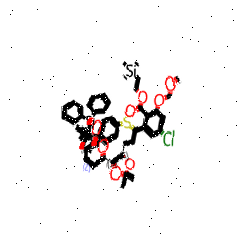 COCOc1cc(Cl)cc(C(CC[C@@H]2OC(C)(C)O[C@@H]2C(/C=C\[C@@H](C)C(C)O[Si](c2ccccc2)(c2ccccc2)C(C)(C)C)O[Si](C)(C)C(C)(C)C)Sc2ccccc2)c1C(=O)OCC[Si](C)(C)C